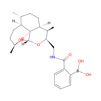 C[C@H]1[C@@H](CNC(=O)c2ccccc2B(O)O)O[C@@H]2O[C@@]3(C)CC[C@H]4[C@H](C)CC[C@@H]1[C@@]24OO3